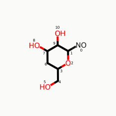 O=NC1OC(CO)CC(O)C1O